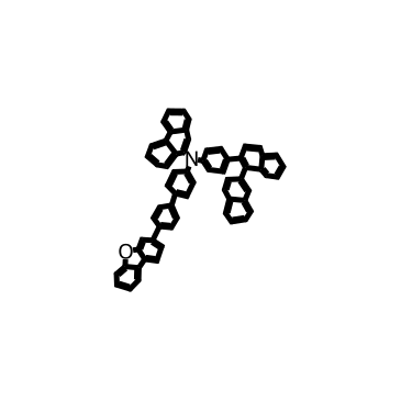 c1ccc2cc(-c3c(-c4ccc(N(c5ccc(-c6ccc(-c7ccc8c(c7)oc7ccccc78)cc6)cc5)c5cc6ccccc6c6ccccc56)cc4)ccc4ccccc34)ccc2c1